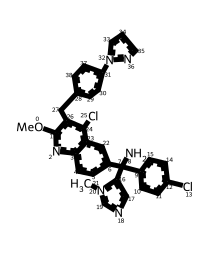 COc1nc2ccc(C(N)(c3ccc(Cl)cc3)c3cncn3C)cc2c(Cl)c1Cc1ccc(-n2cccn2)cc1